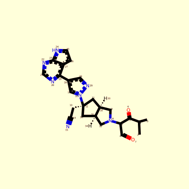 CC(C)C(=O)C(C=O)N1C[C@@H]2C[C@](CC#N)(n3cc(-c4ncnc5[nH]ccc45)cn3)C[C@@H]2C1